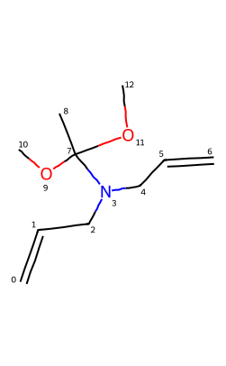 C=CCN(CC=C)C(C)(OC)OC